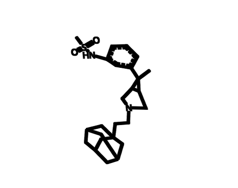 CC1(c2cccc(NS(C)(=O)=O)c2)C2CN(CCC34CC5CC(CC(C5)C3)C4)CC21